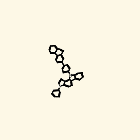 c1ccc(-n2ccc3c2ccc2c4ccccc4n(-c4ccc(-c5ccc6c(ccc7ccccc76)c5)cc4)c23)cc1